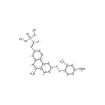 CCOP(=O)(OCC)/C(F)=C/c1ccc2c(c1)nc(N)c1ncc(CCc3ccc(OC)cc3C)cc12